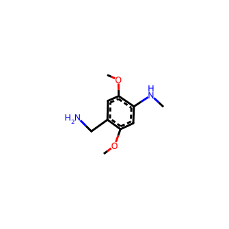 CNc1cc(OC)c(CN)cc1OC